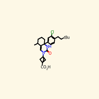 CC1CCCC2(c3ccc(CCC(C)(C)C)c(Cl)c3)NC(=O)N(C34CC(C(=O)O)(C3)C4)C=C12